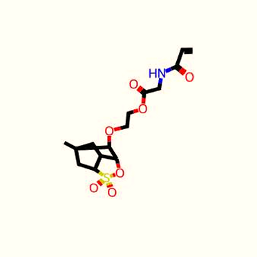 C=CC(=O)NCC(=O)OCCOC1C2OS(=O)(=O)C3CC1(C)CC23